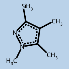 Cc1c([SiH3])nn(C)c1C